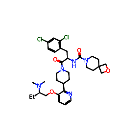 CC[C@H](COc1cccnc1C1CCN(C(=O)[C@@H](Cc2ccc(Cl)cc2Cl)NC(=O)N2CCC3(CC2)COC3)CC1)N(C)C